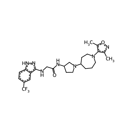 Cc1noc(C)c1N1CCCC(N2CCC(NC(=O)CNc3n[nH]c4ccc(C(F)(F)F)cc34)C2)CC1